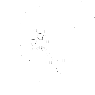 COc1ccccc1CN.NCCCC[C@@H](N)C(=O)O.O=Cc1ccc(Cl)cc1Cl.[H+]